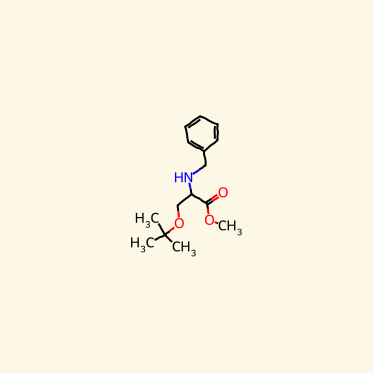 COC(=O)C(COC(C)(C)C)NCc1ccccc1